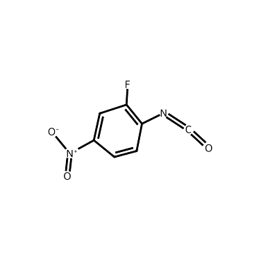 O=C=Nc1ccc([N+](=O)[O-])cc1F